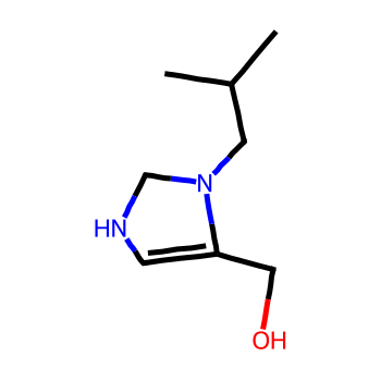 CC(C)CN1CNC=C1CO